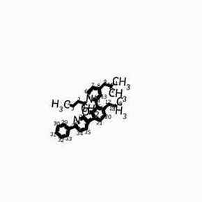 C=C(CCC)[n+]1ccc(CC(C)C)cc1-c1c(CCC)ccc2c1oc1nc(-c3ccccc3)ccc12